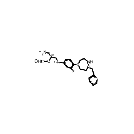 NC[C@@H](CNc1ccc(N2CCNN(Cc3ccccn3)CC2)c(F)c1)OC=O